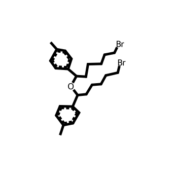 Cc1ccc(C(CCCCCBr)OC(CCCCCBr)c2ccc(C)cc2)cc1